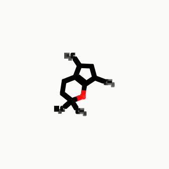 CC1CC(C)C2=C1CCC(C)(C)O2